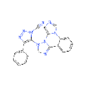 N#Cn1nnc(-c2ccccc2)c1N1CN=C2c3ccccc3-n3cncc3N21